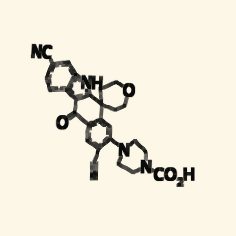 C#Cc1cc2c(cc1N1CCN(C(=O)O)CC1)C1(CCOCC1)c1[nH]c3cc(C#N)ccc3c1C2=O